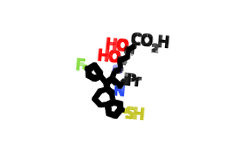 CC(C)c1nc2c(c(-c3ccc(F)cc3)c1/C=C/[C@@H](O)C[C@@H](O)CC(=O)O)CCCc1ccc(S)cc1-2